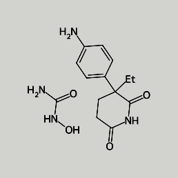 CCC1(c2ccc(N)cc2)CCC(=O)NC1=O.NC(=O)NO